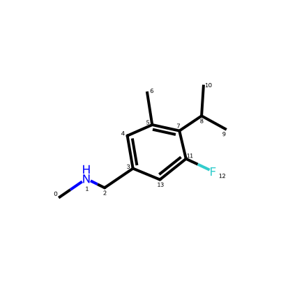 CNCc1cc(C)c(C(C)C)c(F)c1